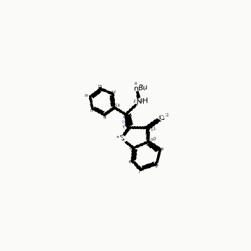 CCCCN/C(=C1/Sc2ccccc2C1=O)c1ccccc1